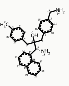 Cc1ccc(CC(O)(Cc2ccc(CN)cc2)[C@H](N)c2cccc3ccccc23)cc1